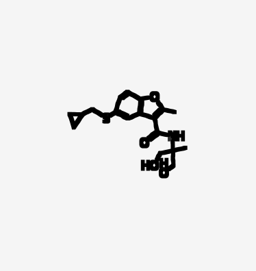 Cc1oc2ccc(SCC3CC3)cc2c1C(=O)NC(C)(CO)CO